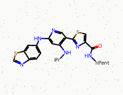 CCCCCNC(=O)c1csc(-c2cnc(Nc3ccc4ncsc4c3)cc2NC(C)C)n1